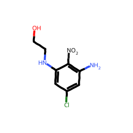 Nc1cc(Cl)cc(NCCO)c1[N+](=O)[O-]